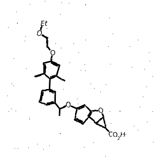 CCOCCOc1cc(C)c(-c2cccc(C(C)Oc3ccc4c(c3)OC3C(C(=O)O)C43)c2)c(C)c1